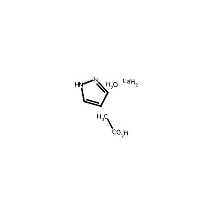 CC(=O)O.O.[CaH2].c1cn[nH]c1